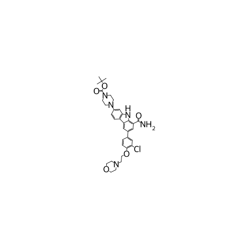 CC(C)(C)OC(=O)N1CCN(c2ccc3c(c2)[nH]c2c(C(N)=O)cc(-c4ccc(OCCN5CCOCC5)c(Cl)c4)cc23)CC1